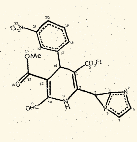 CCOC(=O)C1=C(C2c3nccn32)NC(C=O)=C(C(=O)OC)C1c1cccc([N+](=O)[O-])c1